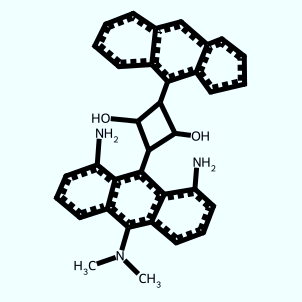 CN(C)c1c2cccc(N)c2c(C2C(O)C(c3c4ccccc4cc4ccccc34)C2O)c2c(N)cccc12